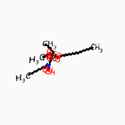 CCCCCCCCCCCCCCCCCCCCOC(=O)C(C)SC(CCCCCCC)C(OC(=O)CCCN(CCO)CC(O)CCCCCCCC)C(=O)OCCC